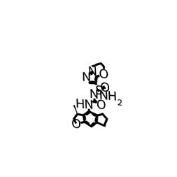 C[C@@H]1COc2cc3c(c(NC(=O)N=[S@](N)(=O)c4cnn5c4OCCC5)c21)CCC3